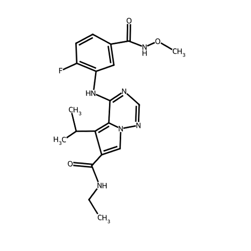 CCNC(=O)c1cn2ncnc(Nc3cc(C(=O)NOC)ccc3F)c2c1C(C)C